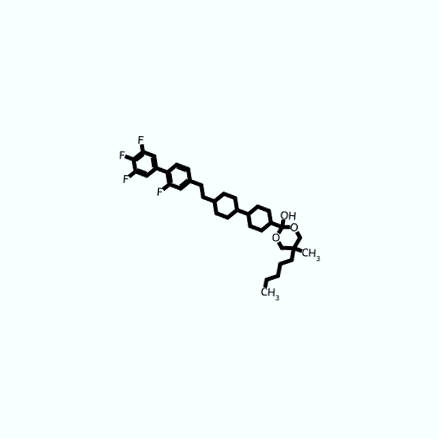 CCCCCC1(C)COC(O)(C2CCC(C3CCC(CCc4ccc(-c5cc(F)c(F)c(F)c5)c(F)c4)CC3)CC2)OC1